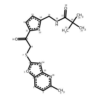 Cc1ccc2oc(SCC(=O)c3ccc(CNC(=O)C(C)(C)C)s3)nc2n1